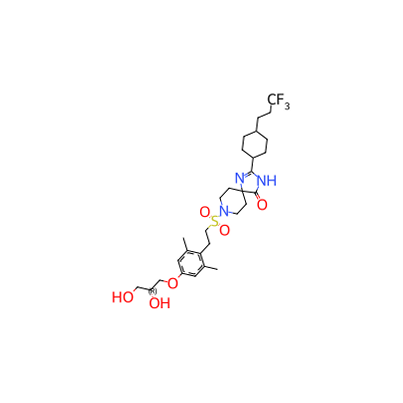 Cc1cc(OC[C@H](O)CO)cc(C)c1CCS(=O)(=O)N1CCC2(CC1)N=C(C1CCC(CCC(F)(F)F)CC1)NC2=O